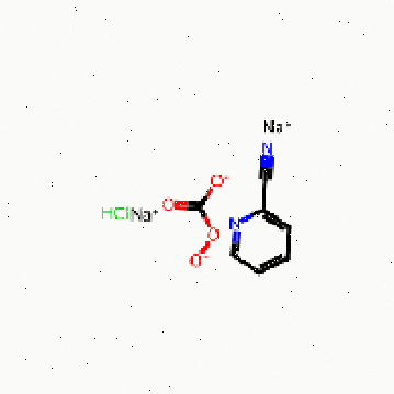 Cl.N#Cc1ccccn1.O=C([O-])O[O-].[Na+].[Na+]